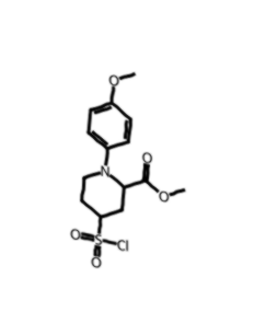 COC(=O)C1CC(S(=O)(=O)Cl)CCN1c1ccc(OC)cc1